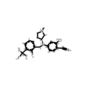 CN1CC[C@H](N(Cc2cccc(C(F)(F)F)c2F)c2ccc(C#N)c(Cl)c2)C1